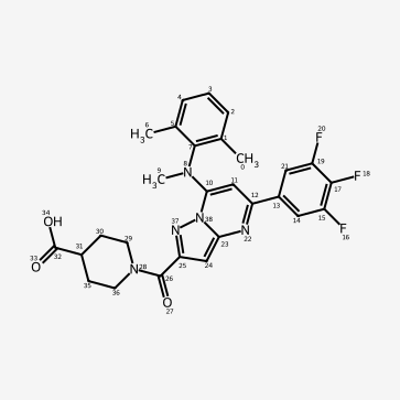 Cc1cccc(C)c1N(C)c1cc(-c2cc(F)c(F)c(F)c2)nc2cc(C(=O)N3CCC(C(=O)O)CC3)nn12